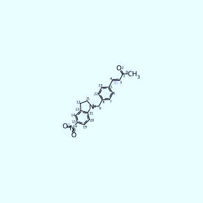 CC(=O)/C=C/c1ccc(CN2CCc3cc([N+](=O)[O-])ccc32)cc1